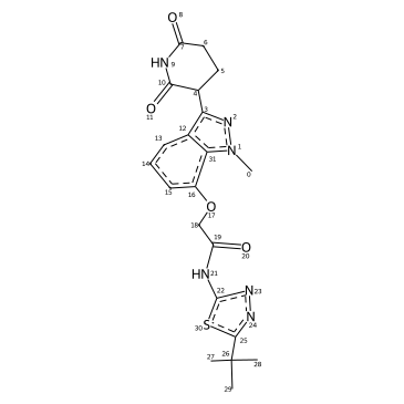 Cn1nc(C2CCC(=O)NC2=O)c2cccc(OCC(=O)Nc3nnc(C(C)(C)C)s3)c21